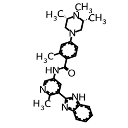 Cc1cc(N2C[C@@H](C)N(C)[C@@H](C)C2)ccc1C(=O)Nc1cnc(C)c(-c2nc3ccccc3[nH]2)c1